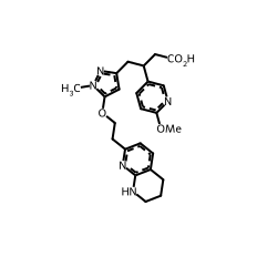 COc1ccc(C(CC(=O)O)Cc2cc(OCCc3ccc4c(n3)NCCC4)n(C)n2)cn1